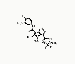 Cc1c(C(=O)Nc2ccc(F)c(N)c2)c(C)n(C)c1C(=O)C(=O)N[C@@H](C)C(F)(F)F